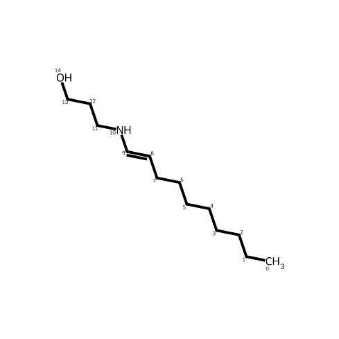 CCCCCCCCC=CNCCCO